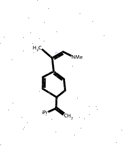 C=C(C(C)C)C1C=CC(/C(C)=C\NC)=CC1